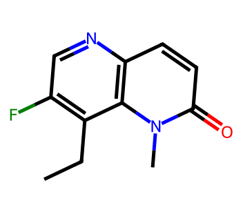 CCc1c(F)cnc2ccc(=O)n(C)c12